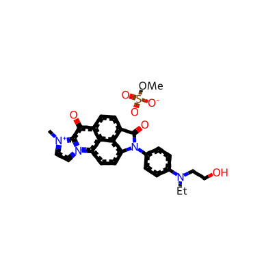 CCN(CCO)c1ccc(N2C(=O)c3ccc4c(=O)c5n(cc[n+]5C)c5ccc2c3c45)cc1.COS(=O)(=O)[O-]